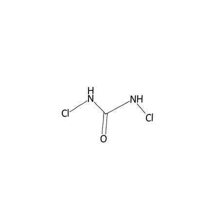 O=C(NCl)NCl